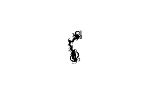 CC(/C=C/CC(C)CCCC(C)(C)Cl)=C\C(=O)OC(C)C